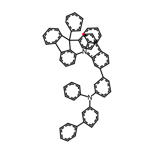 c1ccc(-c2cccc(N(c3ccccc3)c3cccc(-c4ccc5c6ccccc6n(-c6cccc7c6C(c6ccccc6)(c6ccccc6)c6ccccc6-7)c5c4)c3)c2)cc1